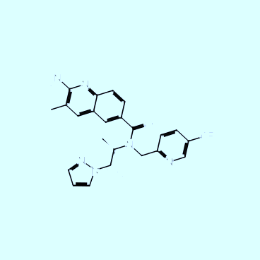 Cc1cc2cc(C(=O)N(Cc3ccc(C(F)(F)F)cn3)[C@H](C)[C@H](C)n3cccn3)ccc2nc1N